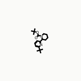 CC(C)(C)OC(=O)N1CCCCC1c1cccc(C(C)(C)C)n1